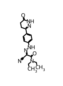 CCN(CC)C(=O)C(C#N)=NNc1ccc(C2=NNC(=O)CC2)cc1